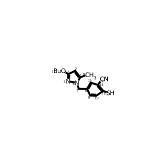 Cc1cc(OCC(C)C)nn1Cc1ccc(S)c(C#N)c1